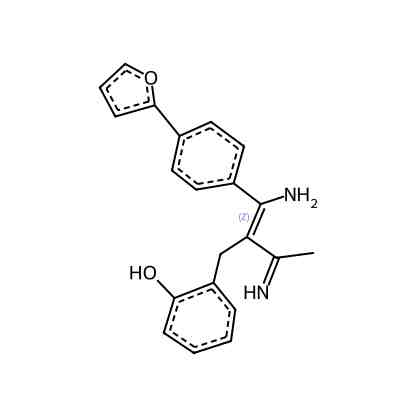 CC(=N)/C(Cc1ccccc1O)=C(\N)c1ccc(-c2ccco2)cc1